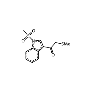 CSCC(=O)c1cn(S(C)(=O)=O)c2ccccc12